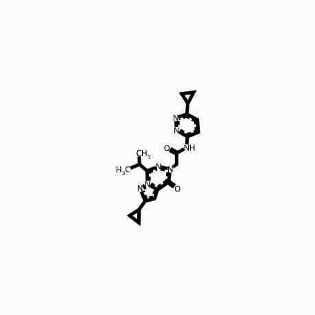 CC(C)c1nn(CC(=O)Nc2ccc(C3CC3)nn2)c(=O)c2cc(C3CC3)nn12